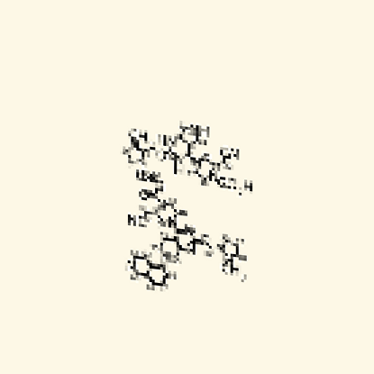 CN1CCCC1COC1NC2CNCC2C(N2CCN(C(=O)O)C(CC#N)C2)N1.CN1CCC[C@H]1COc1nc2c(c(N3CCN(C(=O)OC(C)(C)C)C(CC#N)C3)n1)CCN(c1cccc3cnccc13)C2